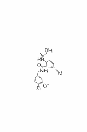 COc1ccc(CNC(=O)c2cc(C#N)ccc2N[C@@H](C)CO)cc1OC